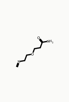 C=NCCOCCC(N)=O